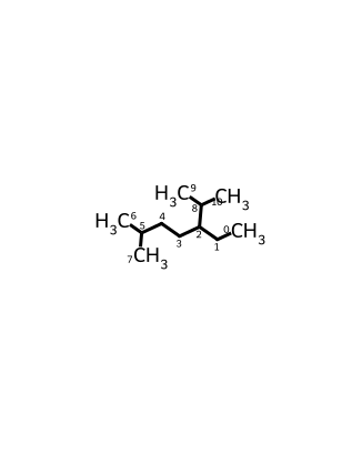 CCC(CCC(C)C)C(C)C